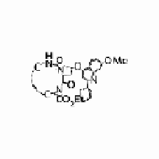 CCOC(=O)C1CCC=CCCCCNC(=O)[N+]2CC(Oc3cc(-c4ccccc4)nc4cc(OC)ccc34)CC2C(=O)N1